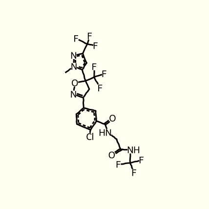 Cn1nc(C(F)(F)F)cc1C1(C(F)(F)F)CC(c2ccc(Cl)c(C(=O)NCC(=O)NC(F)(F)F)c2)=NO1